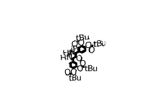 CC(C)NC(C(=O)C(NC(C)C)c1ccc(OC(=O)C(C)(C)C)c(OC(=O)C(C)(C)C)c1)c1ccc(OC(=O)C(C)(C)C)c(OC(=O)C(C)(C)C)c1